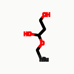 CCCCCOC(O)CCO